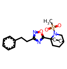 CS(=O)(=O)N1CC2CCC1(c1nc(CCc3ccccc3)no1)CC2